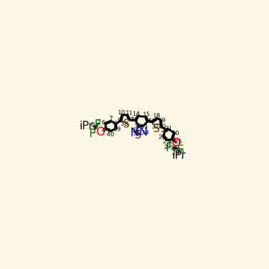 CC(C)C(F)(F)Oc1ccc(-c2ccc(-c3ccc(-c4ccc(-c5ccc(OC(F)(F)C(C)C)cc5)s4)c4nsnc34)s2)cc1